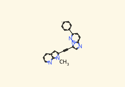 Cn1c(C#Cc2cnc3ccc(-c4cc[c]cc4)nn23)cc2cccnc21